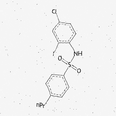 CCCc1ccc(S(=O)(=O)Nc2ccc(Cl)cc2I)cc1